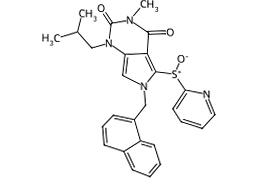 CC(C)Cn1c(=O)n(C)c(=O)c2c([S+]([O-])c3ccccn3)n(Cc3cccc4ccccc34)cc21